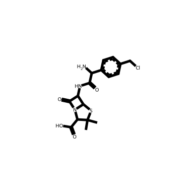 CC1(C)SC2C(NC(=O)C(N)c3ccc(CCl)cc3)C(=O)N2C1C(=O)O